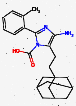 Cc1ccccc1-c1nc(N)c(CCC23CC4CC(CC(C4)C2)C3)n1C(=O)O